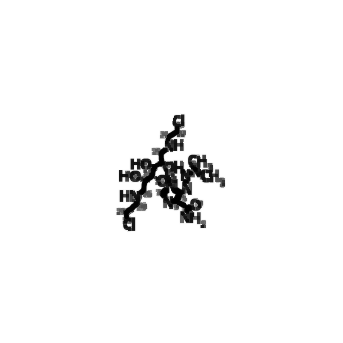 CN(C)/N=N/c1[nH]cnc1C(N)=O.O[C@@H]([C@H](O)[C@H](O)CNCCCl)[C@H](O)CNCCCl